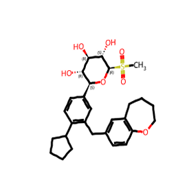 CS(=O)(=O)[C@H]1O[C@@H](c2ccc(C3CCCC3)c(Cc3ccc4c(c3)CCCCO4)c2)[C@H](O)[C@@H](O)[C@@H]1O